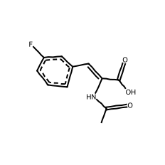 CC(=O)NC(=Cc1cccc(F)c1)C(=O)O